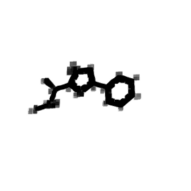 C[C@H](NI)c1nc(-c2ccccc2)c[nH]1